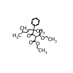 CCOC(=O)C(C(=O)OCC)C(=O)C(C)(CCC(C)C)c1ccccc1